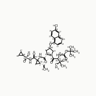 C=C[C@@H]1C[C@]1(NC(=O)[C@@H]1C[C@@H](Oc2ccnc3cc(Cl)ccc23)CN1C(=O)[C@@H](NC(=O)OC(C)(C)C)C(C)(C)C)C(=O)NS(=O)(=O)C1CC1